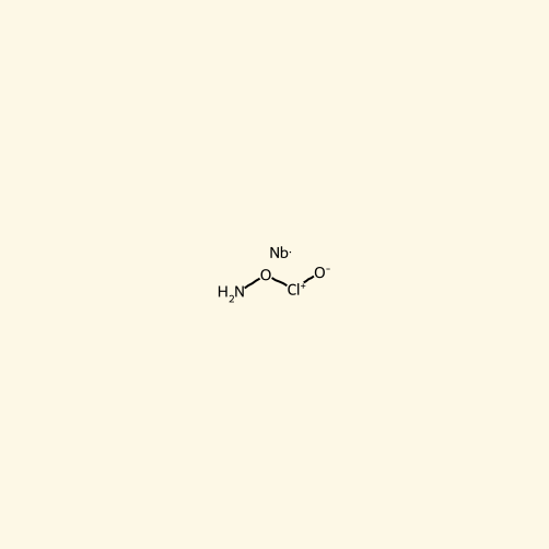 NO[Cl+][O-].[Nb]